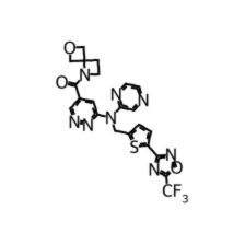 O=C(c1cnnc(N(Cc2ccc(-c3noc(C(F)(F)F)n3)s2)c2cnccn2)c1)N1CCC12COC2